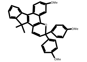 COc1ccc(C2(c3ccc(OC)cc3)C=Cc3c4c(c5ccc(OC)cc5c3O2)-c2ccccc2C4(C)C)cc1